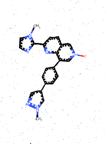 Cn1cc(-c2ccc(-c3c[n+]([O-])cc4ccc(-c5nccn5C)nc34)cc2)cn1